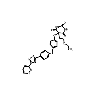 CCOCCC1(Oc2ccc(Oc3ccc(-c4nc(-c5cccnn5)no4)cc3)cc2)C(=O)NC(=O)NC1=O